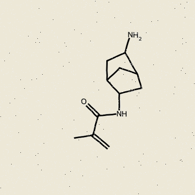 C=C(C)C(=O)NC1CC2CC1CC2N